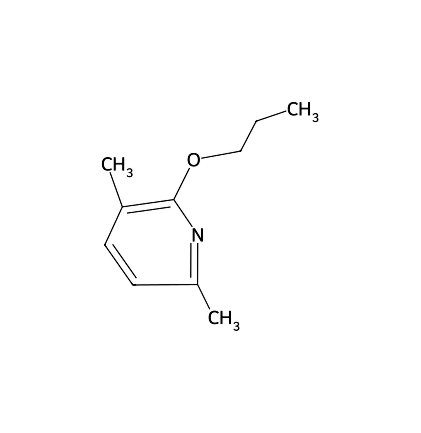 CCCOc1nc(C)ccc1C